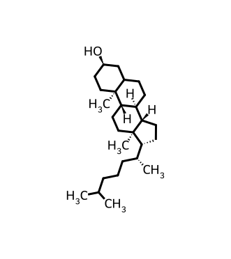 CC(C)CCC[C@@H](C)[C@H]1CC[C@H]2[C@@H]3CCC4C[C@H](O)CC[C@]4(C)[C@H]3CC[C@]12C